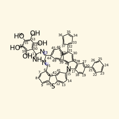 N=C(/N=C(\N=C\c1cccc2sc3ccc(-n4c5ccc(-c6ccccc6)cc5c5cc(-c6ccccc6)ccc54)cc3c12)c1ccccc1)c1c(O)c(O)c(O)c(O)c1O